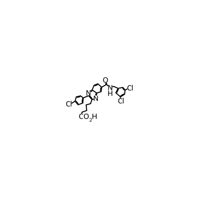 O=C(O)CCCCc1nc2cc(C(=O)NCc3cc(Cl)cc(Cl)c3)ccc2nc1-c1ccc(Cl)cc1